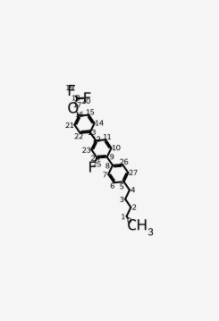 CCCCCc1ccc(-c2ccc(-c3ccc(OC(F)F)cc3)cc2F)cc1